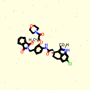 C[C@@H](Oc1cc(CN2C(=O)c3ccccc3C2=O)ccc1NC(=O)C[C@@H]1CCc2cc(Cl)cc3[nH]c(C(=O)O)c1c23)C(=O)N1CCOCC1